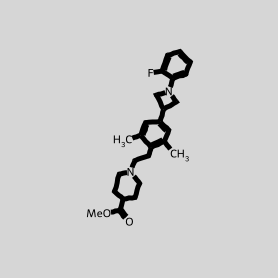 COC(=O)C1CCN(CCc2c(C)cc(C3CN(c4ccccc4F)C3)cc2C)CC1